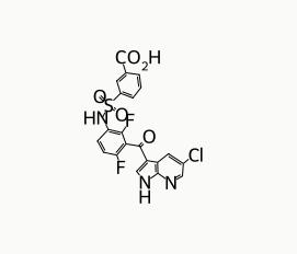 O=C(O)c1cccc(S(=O)(=O)Nc2ccc(F)c(C(=O)c3c[nH]c4ncc(Cl)cc34)c2F)c1